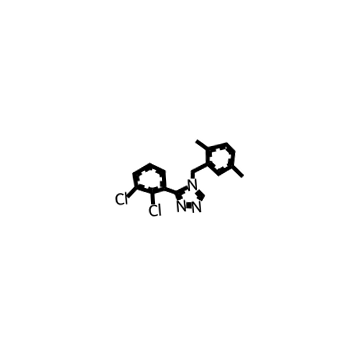 Cc1ccc(C)c(Cn2cnnc2-c2cccc(Cl)c2Cl)c1